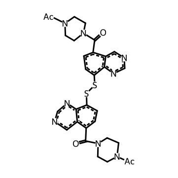 CC(=O)N1CCN(C(=O)c2ccc(SSc3ccc(C(=O)N4CCN(C(C)=O)CC4)c4cncnc34)c3ncncc23)CC1